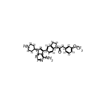 Nc1ncnc2c1c(-c1ccc3c(c1)CCN3C(=O)Cc1cccc(OC(F)(F)F)c1)cn2C1CCNCC1